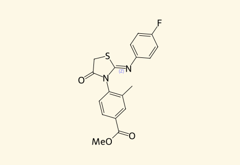 COC(=O)c1ccc(N2C(=O)CS/C2=N\c2ccc(F)cc2)c(C)c1